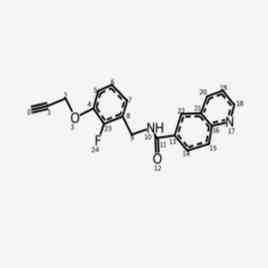 C#CCOc1cccc(CNC(=O)c2ccc3ncccc3c2)c1F